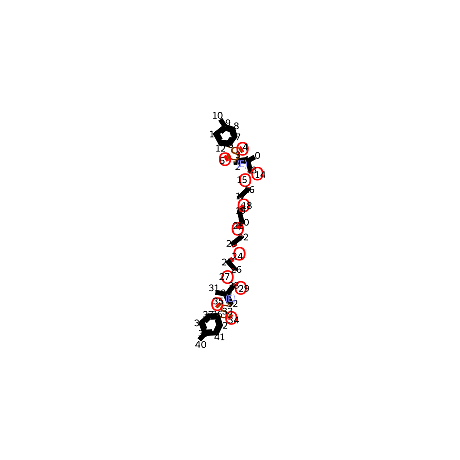 C/C(=C\S(=O)(=O)c1ccc(C)cc1)C(=O)OCCOCCOCCOCCOC(=O)/C(C)=C/S(=O)(=O)c1ccc(C)cc1